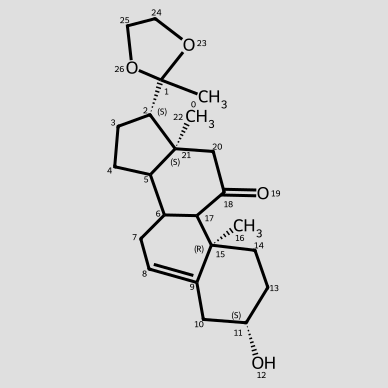 CC1([C@H]2CCC3C4CC=C5C[C@@H](O)CC[C@]5(C)C4C(=O)C[C@@]32C)OCCO1